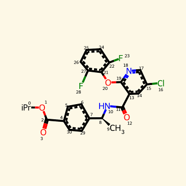 CC(C)OC(=O)c1ccc([C@H](C)NC(=O)c2cc(Cl)cnc2Oc2c(F)cccc2F)cc1